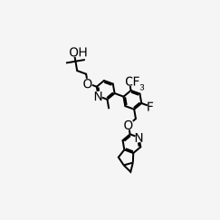 Cc1nc(OCCC(C)(C)O)ccc1-c1cc(COc2cc3c(cn2)C2CC2C3)c(F)cc1C(F)(F)F